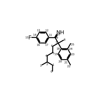 CCC(C)CCCC(C)(C(=N)c1ccc(F)cc1)c1ccc(C)cc1C